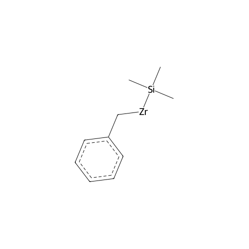 C[Si](C)(C)[Zr][CH2]c1ccccc1